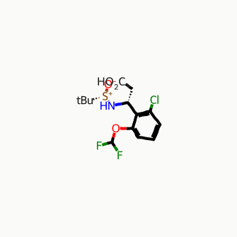 CC(C)(C)[S@+]([O-])N[C@H](CC(=O)O)c1c(Cl)cccc1OC(F)F